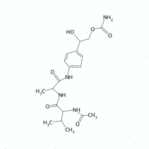 CC(=O)NC(C(=O)NC(C)C(=O)Nc1ccc(C(O)COC(N)=O)cc1)C(C)C